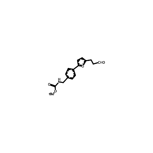 CC(C)(C)OC(=O)NCc1ccc(-c2ccc(CCC=O)o2)cc1